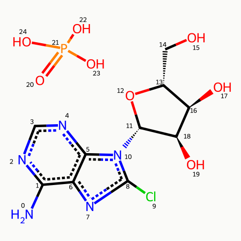 Nc1ncnc2c1nc(Cl)n2[C@@H]1O[C@H](CO)[C@@H](O)[C@H]1O.O=P(O)(O)O